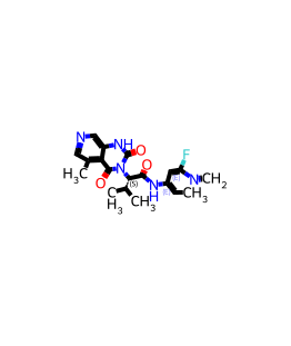 C=N/C(F)=C\C(=C/C)NC(=O)[C@H](C(C)C)n1c(=O)[nH]c2cncc(C)c2c1=O